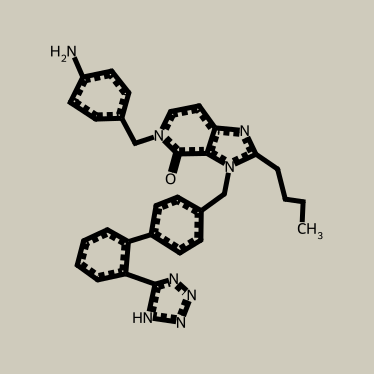 CCCCc1nc2ccn(Cc3ccc(N)cc3)c(=O)c2n1Cc1ccc(-c2ccccc2-c2nnn[nH]2)cc1